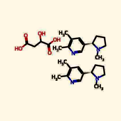 Cc1cc([C@@H]2CCCN2C)cnc1C.Cc1cc([C@@H]2CCCN2C)cnc1C.O=C(O)CC(O)C(=O)O